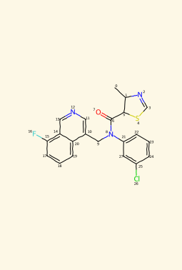 CC1N=CSC1C(=O)N(Cc1cncc2c(F)cccc12)c1cccc(Cl)c1